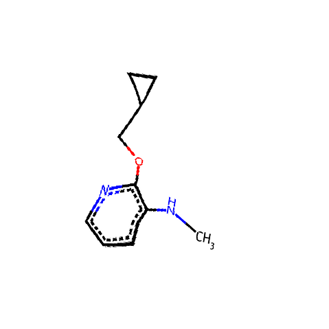 CNc1cccnc1OCC1CC1